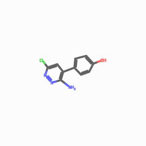 Nc1nnc(Cl)cc1-c1ccc(O)cc1